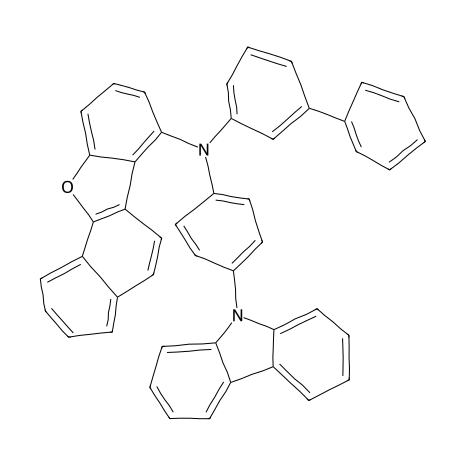 c1ccc(-c2cccc(N(c3ccc(-n4c5ccccc5c5ccccc54)cc3)c3cccc4oc5c6ccccc6ccc5c34)c2)cc1